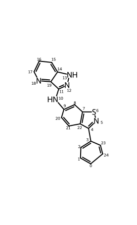 c1ccc(-c2nsc3cc(Nc4n[nH]c5cccnc45)ccc23)cc1